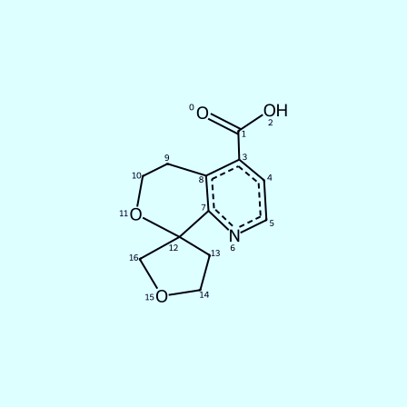 O=C(O)c1ccnc2c1CCOC21CCOC1